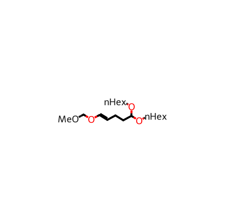 CCCCCCOC(CCC=COCOC)OCCCCCC